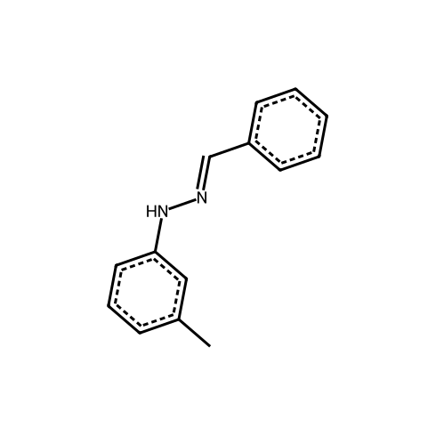 Cc1cccc(N/N=C/c2ccccc2)c1